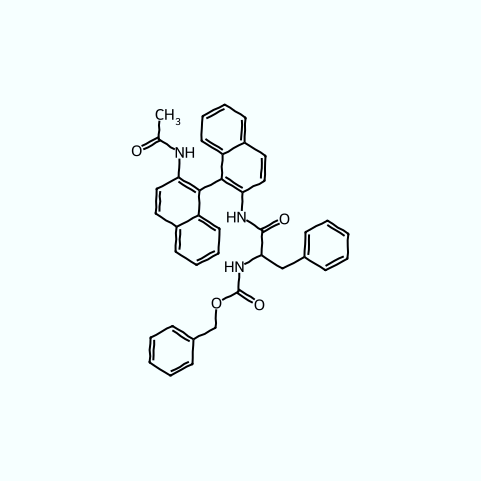 CC(=O)Nc1ccc2ccccc2c1-c1c(NC(=O)C(Cc2ccccc2)NC(=O)OCc2ccccc2)ccc2ccccc12